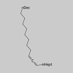 CCCCCCCC=C=CCCCCCCCCCCCCCCCCCC